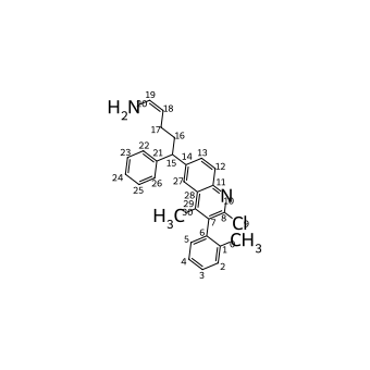 Cc1ccccc1-c1c(Cl)nc2ccc(C(CC/C=C\N)c3ccccc3)cc2c1C